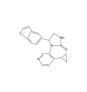 O=C1NCC(c2ccc3sccc3c2)N1c1cnccc1C1CC1